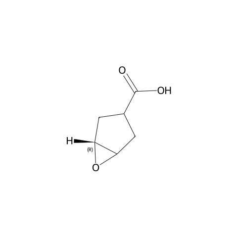 O=C(O)C1CC2O[C@@H]2C1